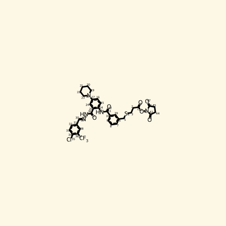 O=C(CCSCc1cccc(C(=O)Nc2ccc(N3CCCCC3)cc2C(=O)NN=Cc2ccc(Cl)c(C(F)(F)F)c2)c1)ON1C(=O)CCC1=O